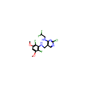 COc1cc(OC)c(F)c(NCc2cnc(Cl)nc2NCC(F)F)c1F